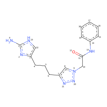 Nc1nc(CCCc2cn(CC(=O)Nc3ccccc3)nn2)c[nH]1